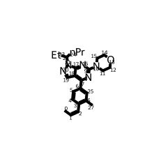 C/C=C\c1ccc(-c2nc(N3CCOCC3)nc3c2cnn3C(CC)CCC)cc1C